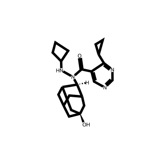 O=C(c1cncnc1C1CC1)N(NC1CCC1)[C@H]1C2CC3CC1C[C@@](O)(C3)C2